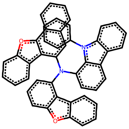 c1ccc(-n2c3ccccc3c3cccc(N(c4cccc5oc6ccccc6c45)c4cc5ccccc5c5oc6ccccc6c45)c32)cc1